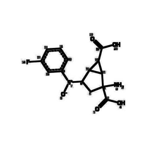 NC1(C(=O)O)CC([S+]([O-])c2cccc(F)c2)C2C(C(=O)O)C21